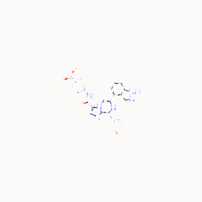 Cc1nc2c(N3CCOCC3)nc(-c3cccc4[nH]ncc34)cn2c1C(=O)NC1CCN(S(C)(=O)=O)CC1